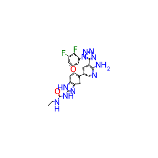 CCNC(=O)Nc1nc2cc(-c3cnc(N)c(-c4nnnn4-c4cccc(F)c4F)c3)c(OC)cc2[nH]1